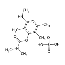 CNc1cc(C)c(C)c(OC(=O)N(C)C)c1C.O=S(=O)(O)O